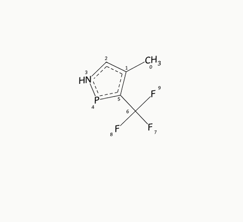 Cc1c[nH]pc1C(F)(F)F